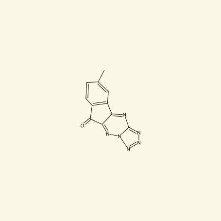 Cc1ccc2c(c1)-c1nc3nnnn3nc1C2=O